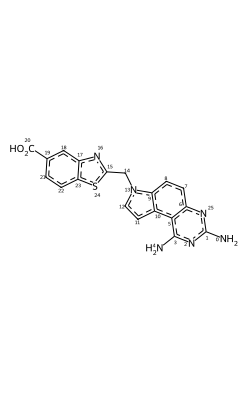 Nc1nc(N)c2c(ccc3c2ccn3Cc2nc3cc(C(=O)O)ccc3s2)n1